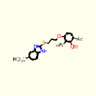 CCCc1c(OCCCSc2nc3cc(C(=O)O)ccc3[nH]2)ccc(C(C)=O)c1O